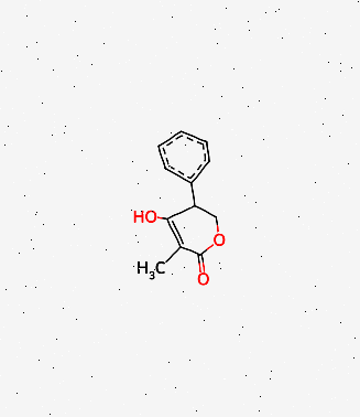 CC1=C(O)C(c2ccccc2)COC1=O